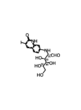 O=C[C@@H](Nc1ccc2cc(I)c(=O)[nH]c2c1)[C@H](O)[C@@H](O)[C@@H](O)CO